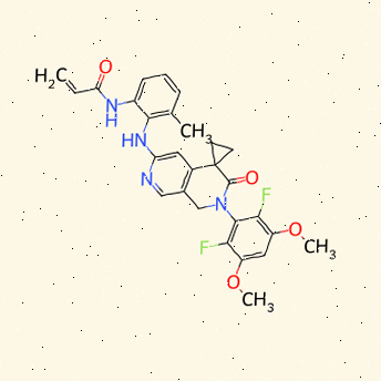 C=CC(=O)Nc1cccc(C)c1Nc1cc2c(cn1)CN(c1c(F)c(OC)cc(OC)c1F)C(=O)C21CC1